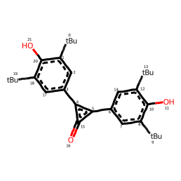 CC(C)(C)c1cc(-c2c(-c3cc(C(C)(C)C)c(O)c(C(C)(C)C)c3)c2=O)cc(C(C)(C)C)c1O